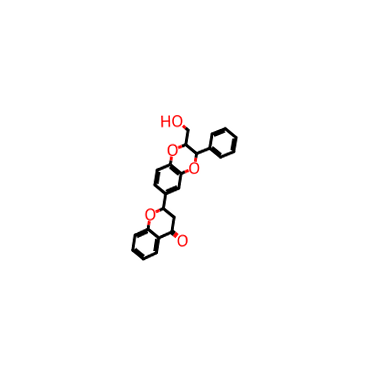 O=C1CC(c2ccc3c(c2)OC(c2ccccc2)C(CO)O3)Oc2ccccc21